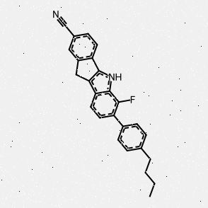 CCCCc1ccc(-c2ccc3c4c([nH]c3c2F)-c2ccc(C#N)cc2C4)cc1